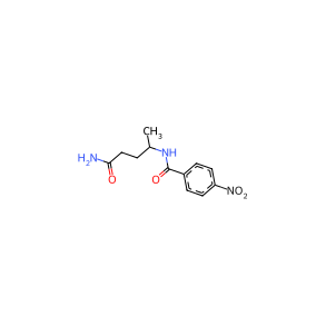 CC(CCC(N)=O)NC(=O)c1ccc([N+](=O)[O-])cc1